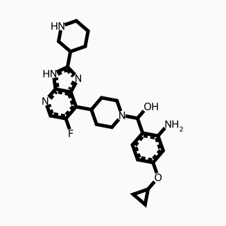 Nc1cc(OC2CC2)ccc1C(O)N1CCC(c2c(F)cnc3[nH]c(C4CCCNC4)nc23)CC1